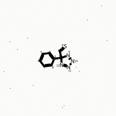 S=CC1(c2ccccc2)N=NN=N1